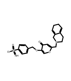 CCS(=N)(=O)c1ccc(COc2coc(CN3CCC4=CCCC=C4C3)cc2=O)cc1